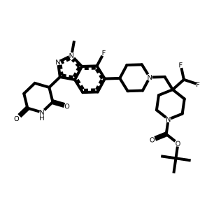 Cn1nc(C2CCC(=O)NC2=O)c2ccc(C3CCN(CC4(C(F)F)CCN(C(=O)OC(C)(C)C)CC4)CC3)c(F)c21